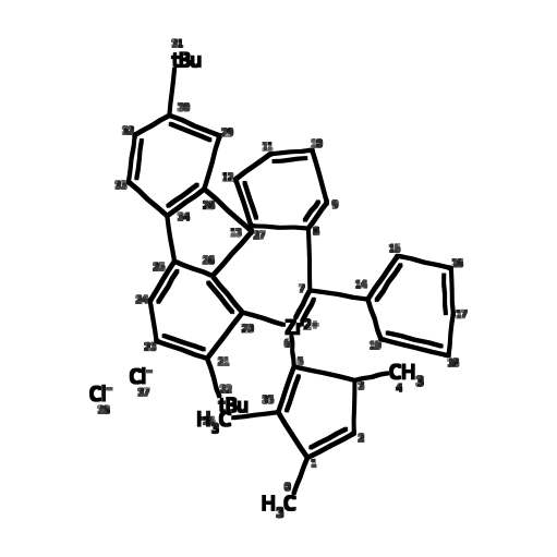 CC1=CC(C)[C]([Zr+2](=[C](c2ccccc2)c2ccccc2)[c]2c(C(C)(C)C)ccc3c2Cc2cc(C(C)(C)C)ccc2-3)=C1C.[Cl-].[Cl-]